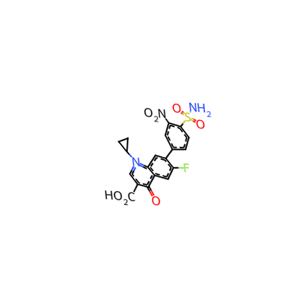 NS(=O)(=O)c1ccc(-c2cc3c(cc2F)c(=O)c(C(=O)O)cn3C2CC2)cc1[N+](=O)[O-]